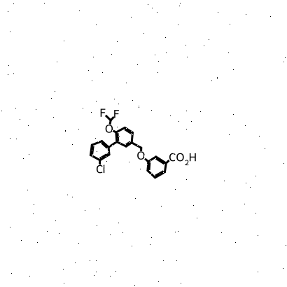 O=C(O)c1cccc(OCc2ccc(OC(F)F)c(-c3cccc(Cl)c3)c2)c1